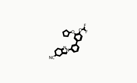 N#CC1CCc2nn(-c3cccc(-c4ccc(OC(F)F)c(OC5CCCC5)c4)c3)cc2C1